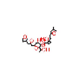 C=C1COC(CCC2(O)CCC2C(O)OC2CCC(CC(=O)CC3CCOC3)OC2C(C)O)C1